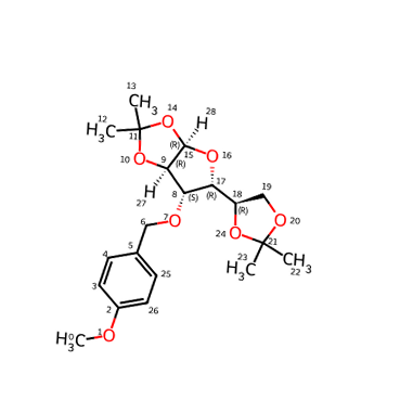 COc1ccc(CO[C@@H]2[C@H]3OC(C)(C)O[C@H]3O[C@@H]2[C@H]2COC(C)(C)O2)cc1